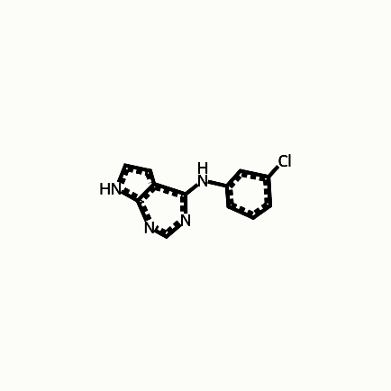 Clc1cccc(Nc2ncnc3[nH]ccc23)c1